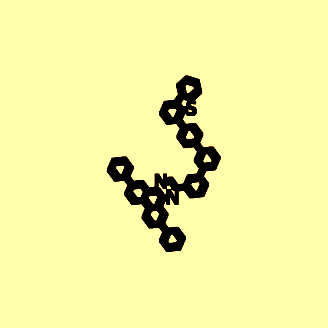 c1ccc(-c2ccc3c4ccc(-c5ccccc5)cc4c4nc(-c5cccc(-c6cccc(-c7ccc(-c8cccc9c8sc8ccccc89)cc7)c6)c5)cnc4c3c2)cc1